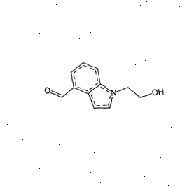 O=Cc1cccc2c1ccn2CCO